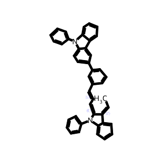 C\C=c1/c(=C\C=C\c2cccc(-c3ccc4c(c3)c3ccccc3n4-c3ccccc3)c2)n(-c2ccccc2)c2ccccc12